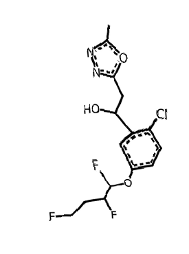 Cc1nnc(CC(O)c2cc(OC(F)C(F)CCF)ccc2Cl)o1